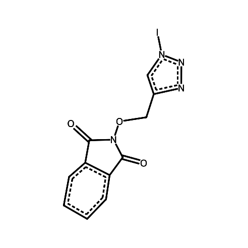 O=C1c2ccccc2C(=O)N1OCc1cn(I)nn1